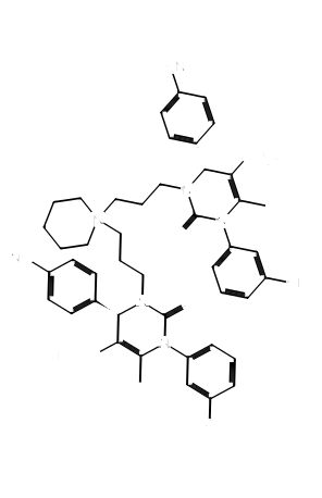 CCOC(=O)C1=C(C)N(c2cccc(C(F)(F)F)c2)C(=O)N(CCC[N+]2(CCCN3C(=O)N(c4cccc(C(F)(F)F)c4)C(C)=C(C(=O)OCC)[C@H]3c3ccc(C#N)cc3)CCCCC2)[C@@H]1c1ccc(C#N)cc1